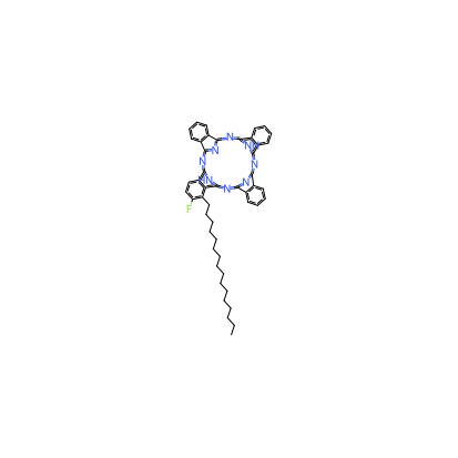 CCCCCCCCCCCCCCCCc1c(F)ccc2c3nc4nc(nc5[nH]c(nc6nc(nc([nH]3)c12)-c1ccccc1-6)c1ccccc51)-c1ccccc1-4